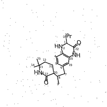 CC(C)C1Nc2ccc(CC(C)C3CCC(C)(C)NC3=O)cc2NC1=O